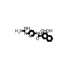 NC(N)=Nc1ccc(NC(=O)c2cc3ccccc3c(O)c2O)cn1